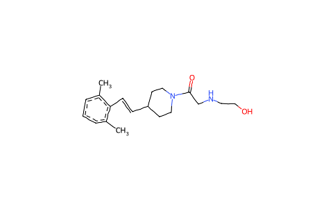 Cc1cccc(C)c1C=CC1CCN(C(=O)CNCCO)CC1